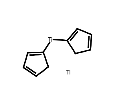 C1=CC[C]([Ti][C]2=CC=CC2)=C1.[Ti]